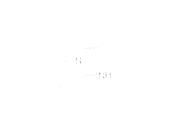 CC/C=C\N(C=N)C(C)C